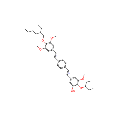 CCCCC(CC)COc1c(OC)cc(/C=C/c2ccc(/C=C/c3cc(O)c(OC(CC)CC)c(OC)c3)cc2)cc1OC